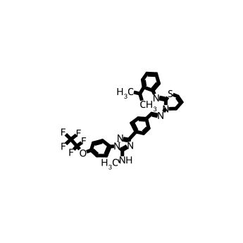 CNc1nc(-c2ccc(C=NN3CC=CSC3=Nc3ccccc3C(C)C)cc2)nn1-c1ccc(OC(F)(F)C(F)(F)F)cc1